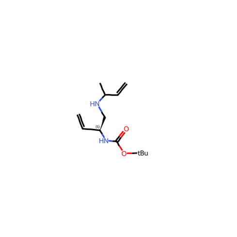 C=CC(C)NC[C@H](C=C)NC(=O)OC(C)(C)C